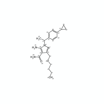 CCCCOCc1nn(C(C)c2ccc(C3CC3)cc2)c(N)c1C(N)=O